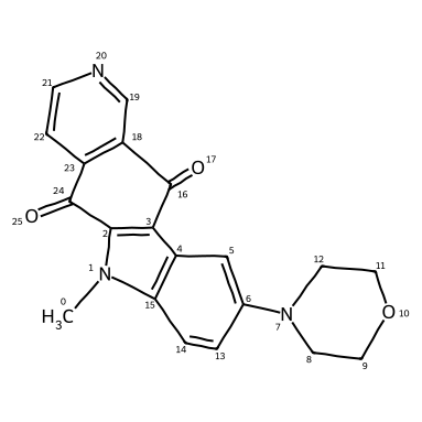 Cn1c2c(c3cc(N4CCOCC4)ccc31)C(=O)c1cnccc1C2=O